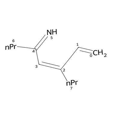 C=C/C(=C\C(=N)CCC)CCC